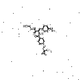 CC1(COc2ccc(C(=O)N/C(=C\c3ccc(OC(F)(F)F)cc3)C(=O)NCCO)cc2)CC1